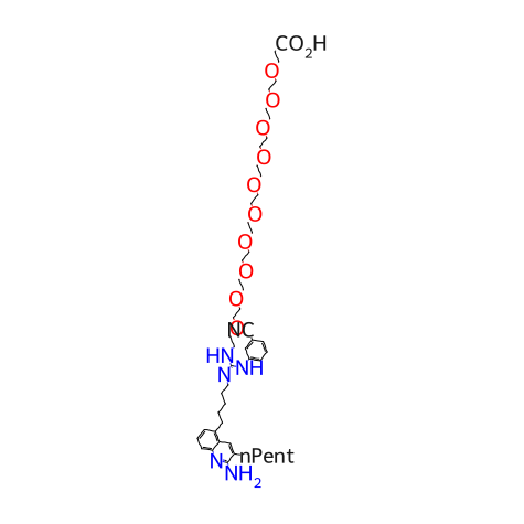 CCCCCc1cc2c(CCCCC/N=C(/NCCOCCOCCOCCOCCOCCOCCOCCOCCOCCOCCC(=O)O)Nc3cccc(C#N)c3)cccc2nc1N